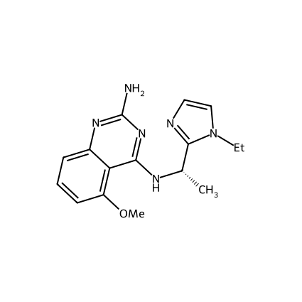 CCn1ccnc1[C@H](C)Nc1nc(N)nc2cccc(OC)c12